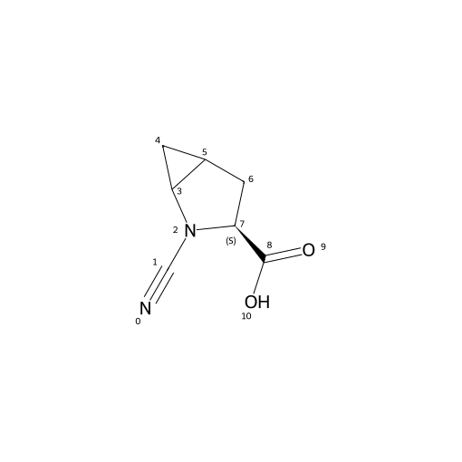 N#CN1C2CC2C[C@H]1C(=O)O